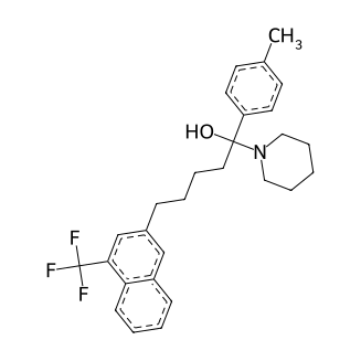 Cc1ccc(C(O)(CCCCc2cc(C(F)(F)F)c3ccccc3c2)N2CCCCC2)cc1